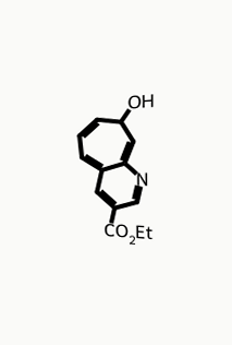 CCOC(=O)c1cnc2c(c1)=CC=CC(O)C=2